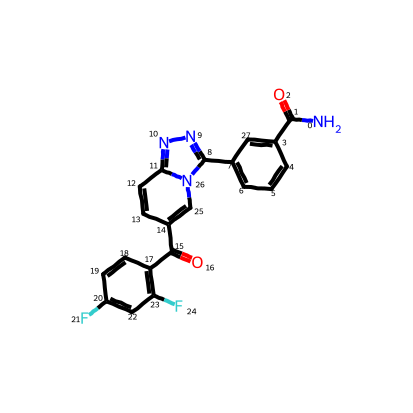 NC(=O)c1cccc(-c2nnc3ccc(C(=O)c4ccc(F)cc4F)cn23)c1